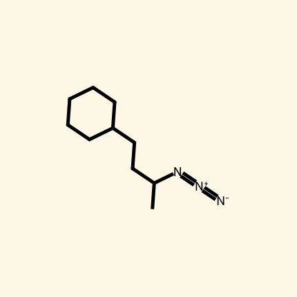 CC(CCC1CCCCC1)N=[N+]=[N-]